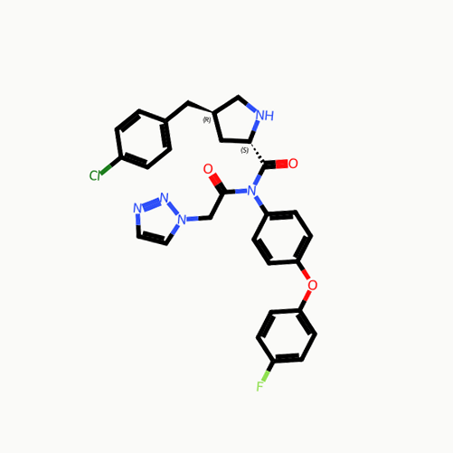 O=C(Cn1ccnn1)N(C(=O)[C@@H]1C[C@@H](Cc2ccc(Cl)cc2)CN1)c1ccc(Oc2ccc(F)cc2)cc1